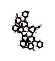 Cc1ccc(-c2ccc3c4ccc(-c5ccc(C)cc5C)cc4n(-c4c(-c5cc(-c6ccccc6)nc(-c6ccccc6)n5)cc(C#N)cc4-c4cc(-c5ccccc5)nc(-c5ccccc5)n4)c3c2)c(C)c1